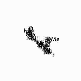 COc1c(F)cc(-c2cc(Cn3cnc4c(NCCCCCNc5cccc6c5C(=O)N(C5CCC(=O)NC5=O)C6=O)ncnc43)c(N3CCC[C@](N)(c4ccccn4)C3)cn2)cc1F